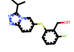 CC(C)c1nnc2ccc(Sc3cccc(F)c3CO)cn12